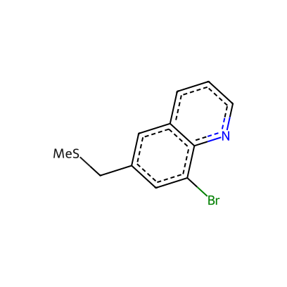 CSCc1cc(Br)c2ncccc2c1